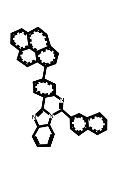 C1=CC2N=C3c4ccc(-c5ccc6ccc7cccc8ccc5c6c78)cc4N=C(c4ccc5ccccc5c4)N3C2C=C1